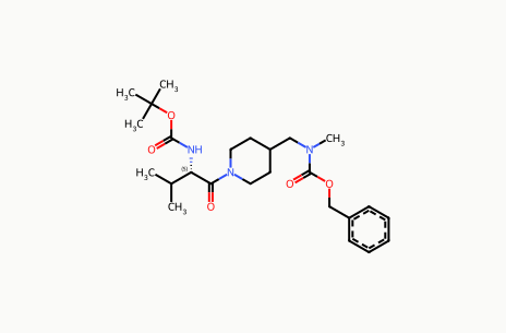 CC(C)[C@H](NC(=O)OC(C)(C)C)C(=O)N1CCC(CN(C)C(=O)OCc2ccccc2)CC1